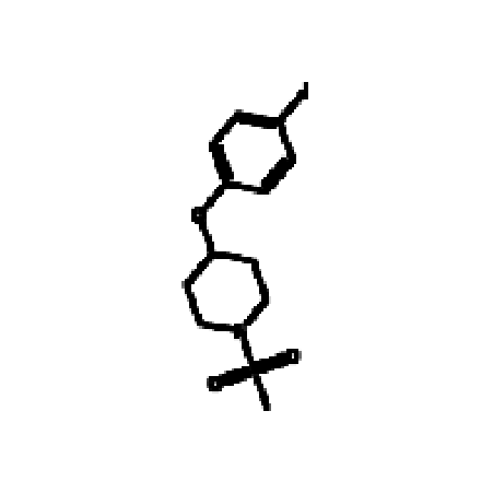 CS(=O)(=O)N1CCC(Oc2ccc(I)cc2)CC1